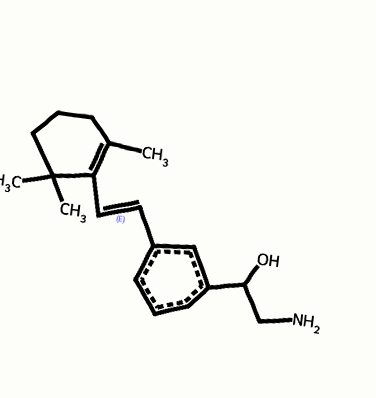 CC1=C(/C=C/c2cccc(C(O)CN)c2)C(C)(C)CCC1